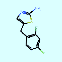 Nc1ncc(Cc2ccc(F)cc2Cl)s1